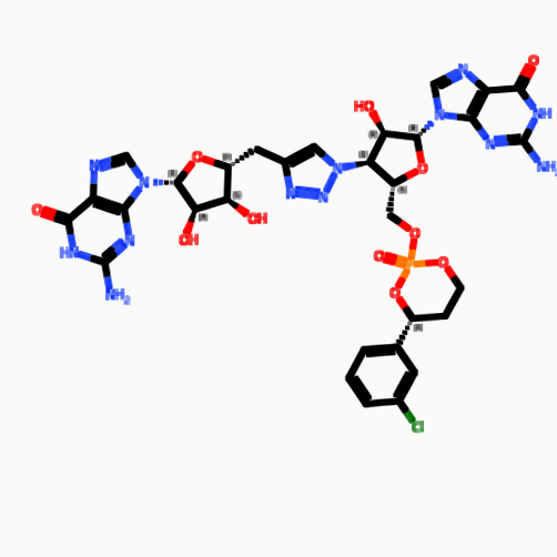 Nc1nc2c(ncn2[C@@H]2O[C@H](Cc3cn([C@H]4[C@@H](O)[C@H](n5cnc6c(=O)[nH]c(N)nc65)O[C@@H]4COP4(=O)OCC[C@H](c5cccc(Cl)c5)O4)nn3)[C@@H](O)[C@H]2O)c(=O)[nH]1